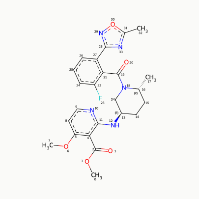 COC(=O)c1c(OC)ccnc1N[C@@H]1CC[C@@H](C)N(C(=O)c2c(F)cccc2-c2noc(C)n2)C1